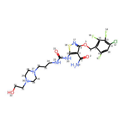 NC(=O)c1c(OCc2c(F)cc(Cl)c(F)c2F)nsc1NC(=O)NCCCN1CCN(CCO)CC1